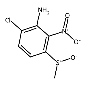 C[S+]([O-])c1ccc(Cl)c(N)c1[N+](=O)[O-]